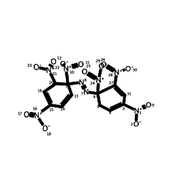 O=[N+]([O-])C1=CCC(/N=N/C2([N+](=O)[O-])C=CC([N+](=O)[O-])=CC2[N+](=O)[O-])([N+](=O)[O-])C([N+](=O)[O-])=C1